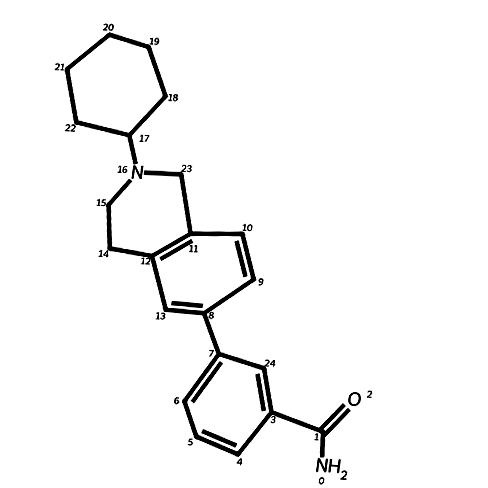 NC(=O)c1cccc(-c2ccc3c(c2)CCN(C2CCCCC2)C3)c1